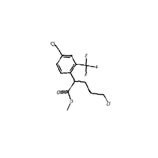 COC(=O)C(CCCCl)c1ccc(Cl)cc1C(F)(F)F